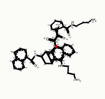 NCCCNC(=O)C1C2CCC(C(OC(=O)c3cccc4ccccc34)C2)C1C(=O)NC(=O)C1C2CCC(CC2OC(=O)c2cccc3ccccc23)C1C(=O)NCCCN